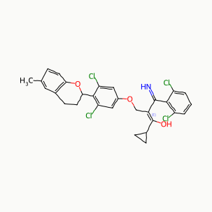 Cc1ccc2c(c1)CCC(c1c(Cl)cc(OC/C(C(=N)c3c(Cl)cccc3Cl)=C(/O)C3CC3)cc1Cl)O2